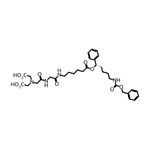 O=C(O)CN(CC(=O)O)CC(=O)NCC(=O)NCCCCCC(=O)O[C@@H](CCCCNC(=O)OCc1ccccc1)c1ccccc1